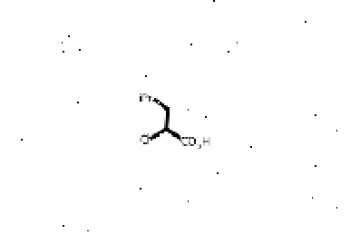 CC(C)CC(Cl)C(=O)O